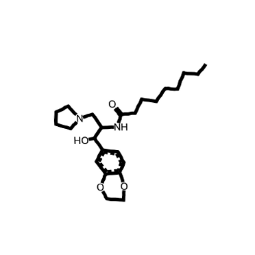 CCCCCCCCC(=O)NC(CN1CCCC1)C(O)c1ccc2c(c1)OCCO2